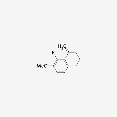 C=C1CCCc2ccc(OC)c(F)c21